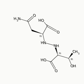 C[C@@H](O)[C@H](NN[C@@H](CC(N)=O)C(=O)O)C(=O)O